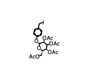 CC(=O)OC[C@H]1OC(Oc2ccc(CI)cc2)[C@@H](OC(C)=O)C(OC(C)=O)[C@H]1OC(C)=O